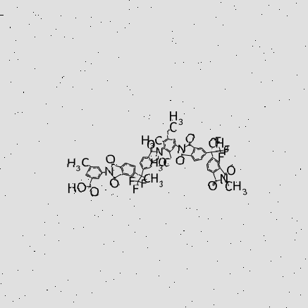 CCc1cc(N2C(=O)c3ccc([C@](C)(c4ccc5c(c4)C(=O)N(C)C5=O)C(F)(F)F)cc3C2=O)c(CC)c(N2C(=O)c3ccc([C@@](C)(c4ccc5c(c4)C(=O)N(c4cc(C)cc(C(=O)O)c4)C5=O)C(F)(F)F)cc3C2=O)c1C